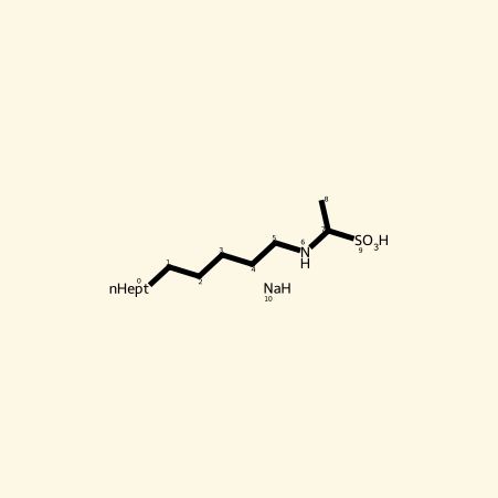 CCCCCCCCCCCCNC(C)S(=O)(=O)O.[NaH]